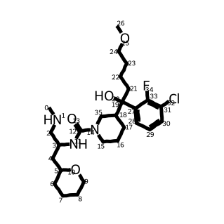 CNCC(CC1CCCCO1)NC(=O)N1CCCC(C(O)(CCCCOC)c2cccc(Cl)c2F)C1